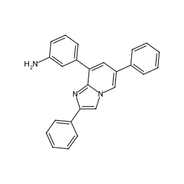 Nc1cccc(-c2cc(-c3ccccc3)cn3cc(-c4ccccc4)nc23)c1